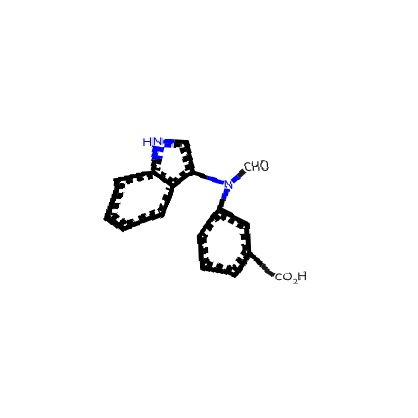 O=CN(c1cccc(C(=O)O)c1)c1c[nH]c2ccccc12